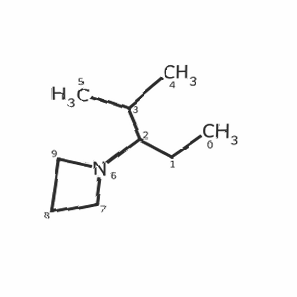 CCC(C(C)C)N1CCC1